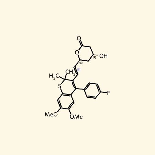 COc1cc2c(cc1OC)C(c1ccc(F)cc1)=C(/C=C/[C@@H]1C[C@@H](O)CC(=O)O1)C(C)(C)S2